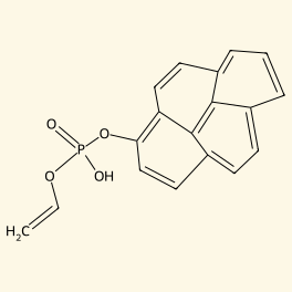 C=COP(=O)(O)Oc1ccc2ccc3cccc4ccc1c2c34